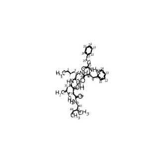 CCCC[C@H](NC(=O)[C@H](Cc1ccccn1)NC(=O)OCc1ccccc1)C(=O)N[C@@H](CC(C)C)[C@@H](O)CC(=O)NCC(C)CC